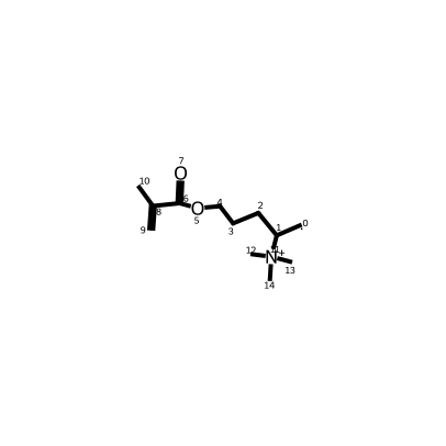 [CH2]C(CCCOC(=O)C(=C)C)[N+](C)(C)C